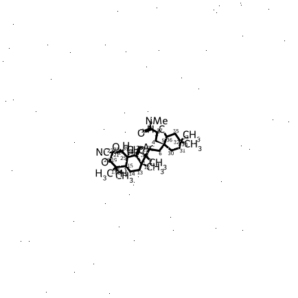 CNC(=O)CC[C@]1(CCC(C)(C)[C@]2(C)CC[C@H]3C(C)(C)C(=O)[C@]4(C#N)O[C@@H]4[C@]3(C)/C2=C/C(C)=O)CCC(C)(C)CC1C